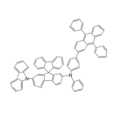 c1ccc(-c2c3ccccc3c(-c3ccccc3)c3cc(-c4ccc(N(c5ccccc5)c5ccc6c(c5)C5(c7ccccc7-c7ccccc75)c5cc(-n7c8ccccc8c8ccccc87)ccc5-6)cc4)ccc23)cc1